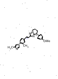 COc1ccc([C@@H]2CCCn3nc(/C=C/c4ccc(-n5cnc(C)c5)c(C)c4)nc32)cc1